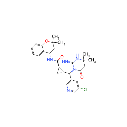 CC1(C)CC(=O)N([C@@H](c2cncc(Cl)c2)[C@@H]2C[C@H]2C(=O)N[C@H]2CC(C)(C)Oc3ccccc32)C(=N)N1